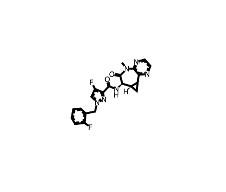 CN1C(=O)[C@H](NC(=O)c2nn(Cc3ccccc3F)cc2F)[C@@H]2CC2c2nccnc21